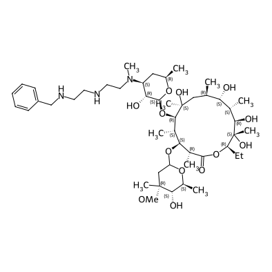 CC[C@H]1OC(=O)[C@H](C)[C@@H](OC2C[C@@](C)(OC)[C@@H](O)[C@H](C)O2)[C@H](C)[C@@H](O[C@@H]2O[C@H](C)C[C@H](N(C)CCNCCNCc3ccccc3)[C@H]2O)[C@@](C)(O)C[C@@H](C)[C@H](O)[C@H](C)[C@@H](O)[C@]1(C)O